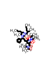 CCCCC(CC)CN(CC(CC)CCCC)c1nc(-c2ccccc2)c(/C=C2\C(=O)N(N(C(C)=O)C(=O)C(C)(C)C)C(=O)C(C(=O)N(C(C)=O)C(C)(C)C)=C2C)s1